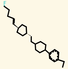 CCc1ccc(C2CCC(CC[C@H]3CC[C@H](/C=C/CCCF)CC3)CC2)cc1